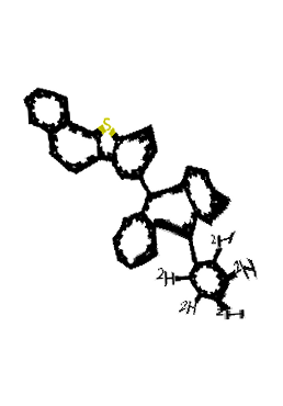 [2H]c1c([2H])c([2H])c(-c2c3ccccc3c(-c3ccc4sc5c6ccccc6ccc5c4c3)c3ccccc23)c([2H])c1[2H]